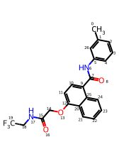 Cc1cccc(NC(=O)c2ccc(OCC(=O)NCC(F)(F)F)c3ccccc23)c1